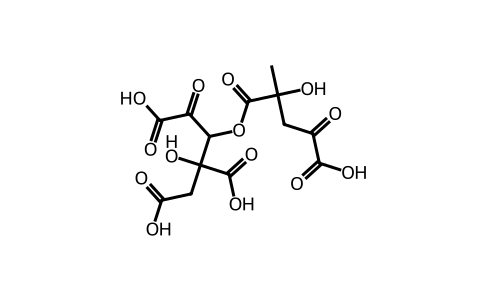 CC(O)(CC(=O)C(=O)O)C(=O)OC(C(=O)C(=O)O)C(O)(CC(=O)O)C(=O)O